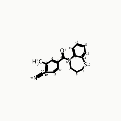 Cc1cc(C(=O)N2CCCSc3ccccc32)ccc1C#N